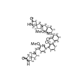 COc1nc(-c2cccc(-c3cccc(-c4ccc(CN5CCC6(CNC(=O)C6)C5)c(OC)n4)c3Cl)c2Cl)ccc1CN1CCC2(CNC(=O)C2)C1